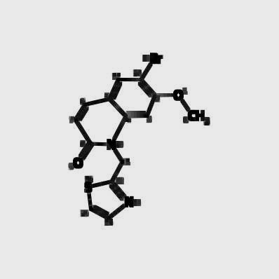 COc1cc2c(ccc(=O)n2Cc2nccs2)cc1Br